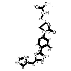 CC(=O)NC[C@H]1CN(c2ccc(-c3nnc(Cn4cncn4)s3)c(F)c2)C(=O)O1